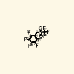 O=S(=O)(Cc1c(F)c(F)c(F)c(F)c1F)C(F)(F)F